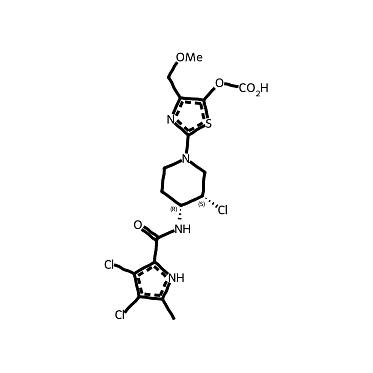 COCc1nc(N2CC[C@@H](NC(=O)c3[nH]c(C)c(Cl)c3Cl)[C@@H](Cl)C2)sc1OC(=O)O